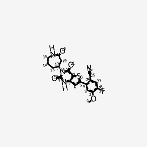 COc1cc(-c2cc3[nH]c(=O)n([C@@H]4CCCNC(=O)C4)c(=O)c3s2)c(C#N)cc1F